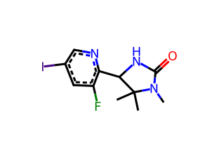 CN1C(=O)NC(c2ncc(I)cc2F)C1(C)C